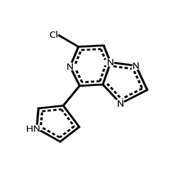 Clc1cn2ncnc2c(-c2cc[nH]c2)n1